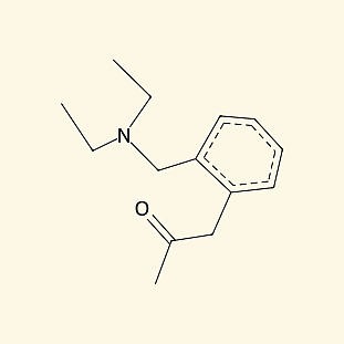 CCN(CC)Cc1ccccc1CC(C)=O